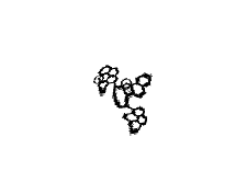 c1ccc2c(c1)ccc1c2oc2c(-c3cc4ccc5cccc6c5c4c4c(cccc34)O6)ccc(-c3ccc4ccc5cccc6ccc3c4c56)c21